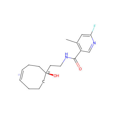 Cc1cc(F)ncc1C(=O)NCC[C@@]1(O)CC/C=C\CCC1